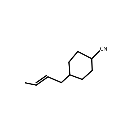 C/C=C/CC1CCC(C#N)CC1